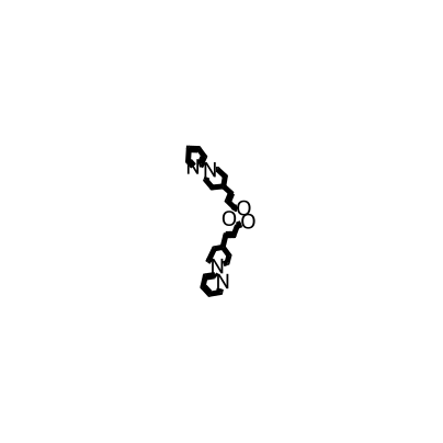 O=C(/C=C/C1CCN(c2ccccn2)CC1)OC(=O)/C=C/C1CCN(c2ccccn2)CC1